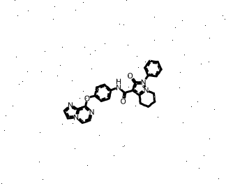 O=C(Nc1ccc(Oc2nccn3ccnc23)cc1)c1c2n(n(-c3ccccc3)c1=O)CCCC2